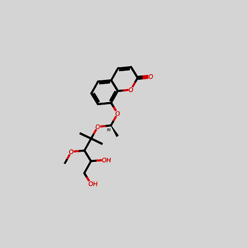 COC(C(O)CO)C(C)(C)O[C@H](C)Oc1cccc2ccc(=O)oc12